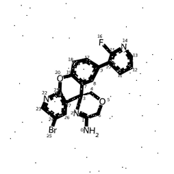 NC1=N[C@@]2(COC1)c1cc(-c3cccnc3F)ccc1Oc1ncc(Br)cc12